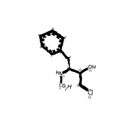 O=C(O)N[C@@H](Cc1ccccc1)C(O)CCl